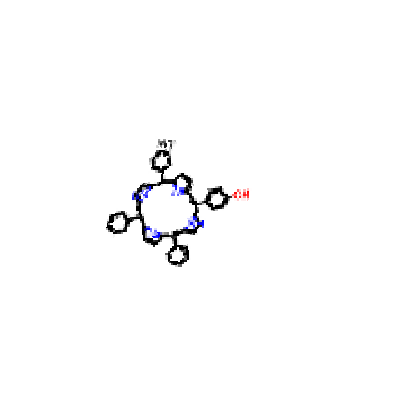 Oc1ccc(-c2c3nc(c(-c4ccccc4)c4ccc([nH]4)c(-c4ccccc4)c4nc(c(-c5ccccc5)c5ccc2[nH]5)C=C4)C=C3)cc1.[Mg]